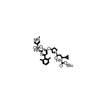 Cc1cccc(C)c1-c1cc(OC2CCN(C(=O)CC(NC(=O)OC(C)(C)C)C3CC3)C2)nc(NS(=O)(=O)c2cnn(C)c2)n1